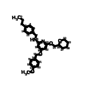 CCCc1ccc(CNc2cc(OCc3ccc(OC)cc3)cc(OCC3CCCCO3)n2)cc1